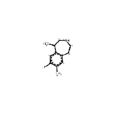 Cc1cc2c(cc1I)C(C)CNCC2